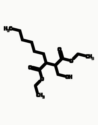 CCCCCCC(C(=O)OCC)C(CO)C(=O)OCC